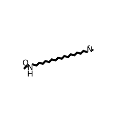 CC(=O)NCCCCCCCCCCCCCCCCCCN(C)C